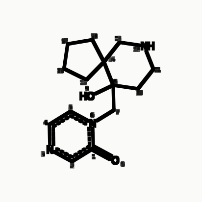 O=c1cnccn1CC1(O)CCNCC12CCCC2